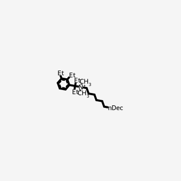 CCCCCCCCCCCCCCCC[N+](C)(C)C(CC)(CC)c1cccc(CC)c1CC